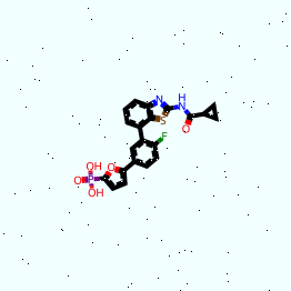 O=C(Nc1nc2cccc(-c3cc(-c4ccc(P(=O)(O)O)o4)ccc3F)c2s1)C1CC1